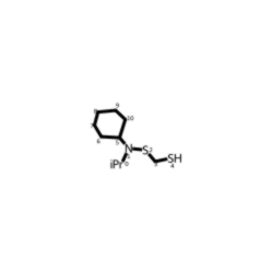 CC(C)N(SCS)C1CCCCC1